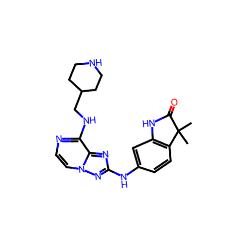 CC1(C)C(=O)Nc2cc(Nc3nc4c(NCC5CCNCC5)nccn4n3)ccc21